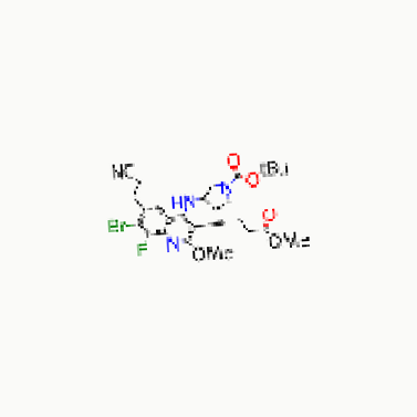 COC(=O)CCC#Cc1c(OC)nc2c(F)c(Br)c(CCC#N)cc2c1NC1CCN(C(=O)OC(C)(C)C)C1